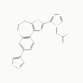 CC(C)Cn1cnnc1-c1nc2c(s1)CCOc1cc(-c3cn[nH]c3)ccc1-2